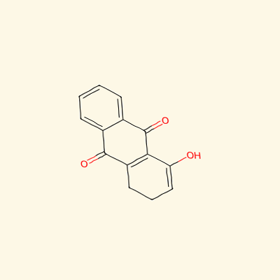 O=C1C2=C(C(=O)c3ccccc31)C(O)=CCC2